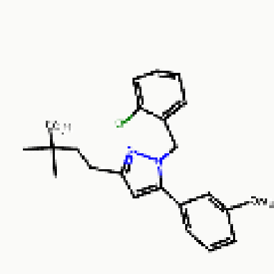 COc1cccc(-c2cc(CCC(C)(C)C(=O)O)nn2Cc2ccccc2Cl)c1